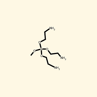 CO[Si](OCCN)(OCCN)OCCN